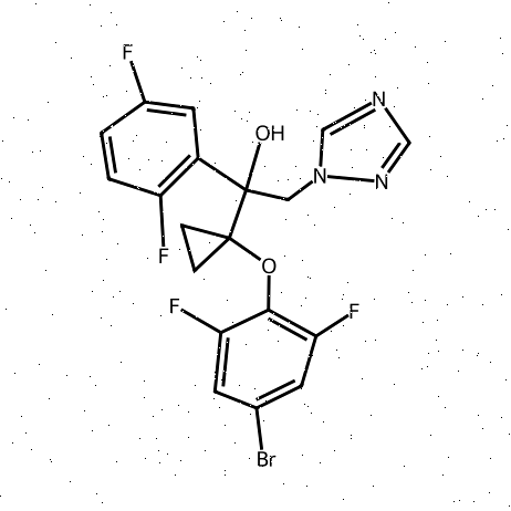 OC(Cn1cncn1)(c1cc(F)ccc1F)C1(Oc2c(F)cc(Br)cc2F)CC1